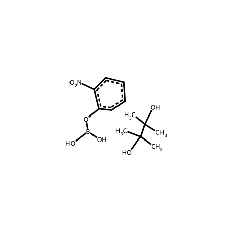 CC(C)(O)C(C)(C)O.O=[N+]([O-])c1ccccc1OB(O)O